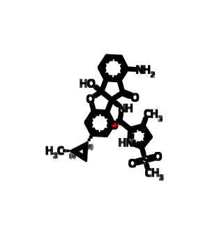 Cc1cc(S(C)(=O)=O)[nH]c1C(=O)NC12C(=O)c3c(N)cccc3C1(O)Oc1cc([C@@H]3C[C@@H]3C)ccc12